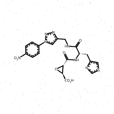 O=C(NCc1cn(-c2ccc([N+](=O)[O-])cc2)nn1)[C@H](Cc1cscn1)NC(=O)[C@H]1O[C@@H]1C(=O)O